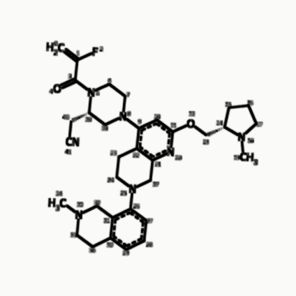 C=C(F)C(=O)N1CCN(c2cc(OC[C@@H]3CCCN3C)nc3c2CCN(c2cccc4c2CN(C)CC4)C3)C[C@@H]1CC#N